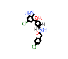 O=C(Cc1ccc(Cl)cc1)N[C@H]1[C@@H]2C[C@](O)(c3cc(Cl)cc4[nH]ncc34)C[C@@H]21